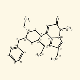 CC[C@@H]1CN(c2cc(=O)n(C)n3cc(CO)nc23)[C@@H](CC)CN1Cc1ccccc1